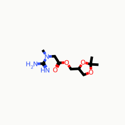 CN(CC(=O)OCC1COC(C)(C)O1)C(=N)N